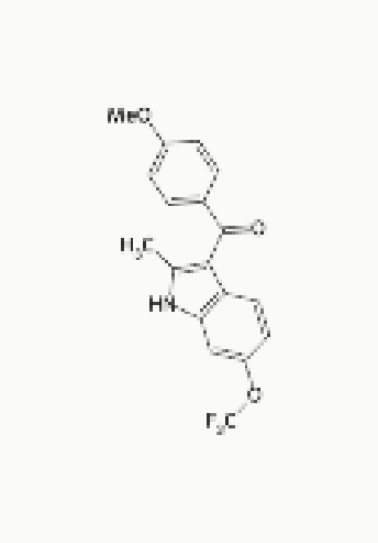 COc1ccc(C(=O)c2c(C)[nH]c3cc(OC(F)(F)F)ccc23)cc1